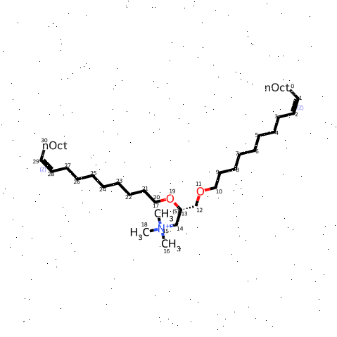 CCCCCCCC/C=C\CCCCCCCCOC[C@H](C[N+](C)(C)C)OCCCCCCCC/C=C\CCCCCCCC